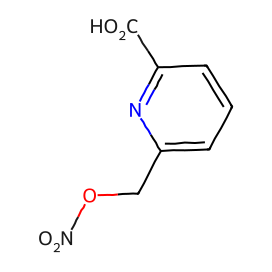 O=C(O)c1cccc(CO[N+](=O)[O-])n1